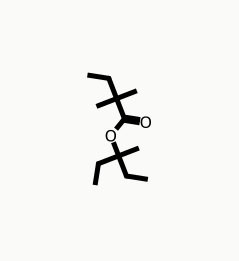 CCC(C)(CC)OC(=O)C(C)(C)CC